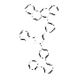 NC(NC(/C=C/c1cccc(-c2c3ccccc3cc3c2ccc2ccccc23)c1)c1ccc2c3ccccc3c3ccccc3c2c1)c1ccccc1